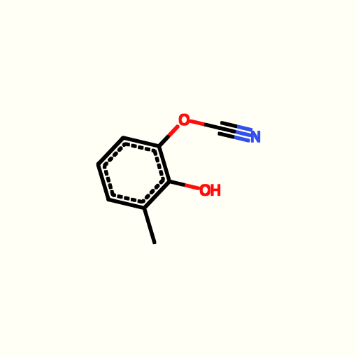 Cc1cccc(OC#N)c1O